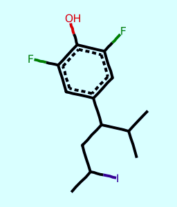 CC(I)CC(c1cc(F)c(O)c(F)c1)C(C)C